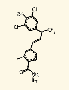 Cc1cc(/C=C/C(c2cc(Cl)c(Br)c(Cl)c2)C(F)(F)F)ccc1C(=O)NC(C)C